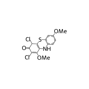 COC1=C(Cl)C(=O)C(Cl)C2=C1Nc1ccc(OC)cc1S2